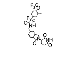 Cc1cc(C(F)(F)C(=O)NCc2ccc3c(c2)CN(C2CCC(=O)NC2=O)C3=O)ccc1OC(F)(F)F